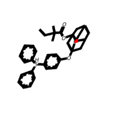 CCC(C)(C)C(=O)OC12CC3CC(C1)CC(Oc1ccc([SH](c4ccccc4)c4ccccc4)cc1)(C3)C2